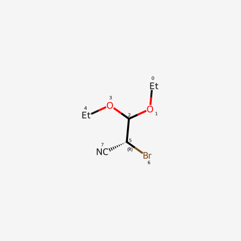 CCOC(OCC)[C@H](Br)C#N